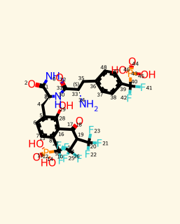 NC(=O)[C@H](Cc1ccc(C(F)(F)P(=O)(O)O)c(C(=O)C(C(F)(F)F)C(F)(F)F)c1O)NC(=O)[C@@H](N)Cc1ccc(C(F)(F)P(=O)(O)O)cc1